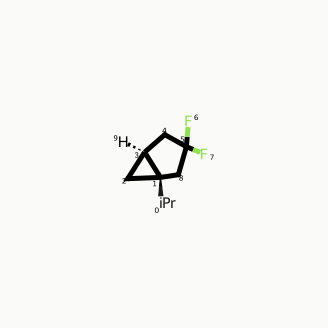 CC(C)[C@@]12C[C@H]1CC(F)(F)C2